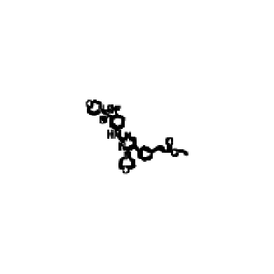 CCOC(=O)C=Cc1cccc(-c2cnc(Nc3ccc(F)c(S(=O)(=O)N4CCOCC4)c3)nc2N2CCOCC2)c1